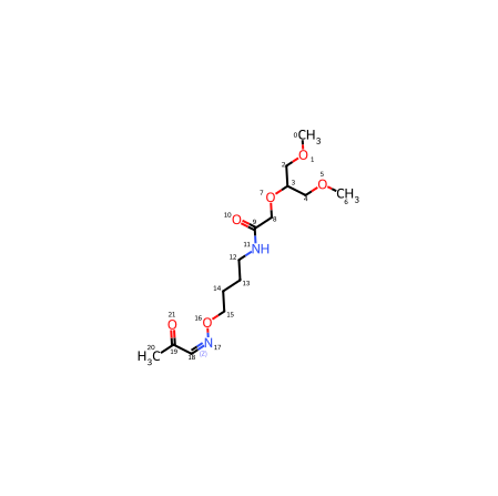 COCC(COC)OCC(=O)NCCCCO/N=C\C(C)=O